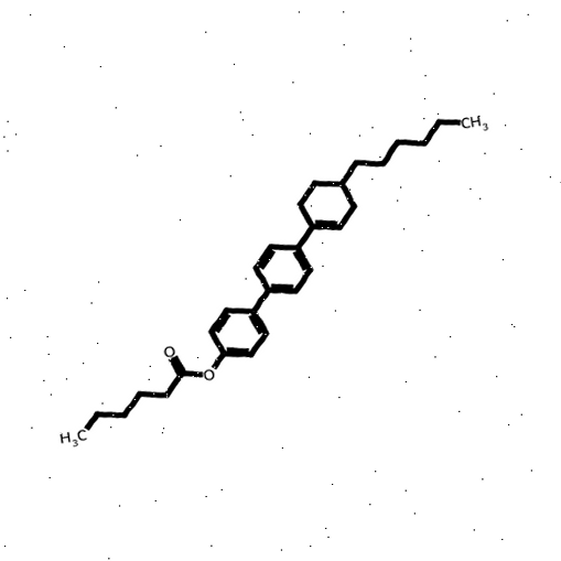 CCCCCCC1CC=C(c2ccc(-c3ccc(OC(=O)CCCCC)cc3)cc2)CC1